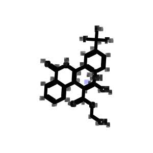 CCOC(=O)/C(=C(\C)O)c1c(-c2cc(C(F)(F)F)ccn2)oc(=O)c2ccccc12